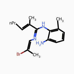 CCC/C=C(C)/C(=N\C=C(/C)Br)Nc1c(C)cccc1N